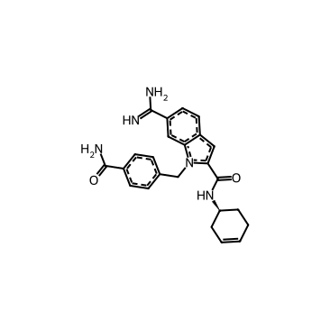 N=C(N)c1ccc2cc(C(=O)N[C@@H]3CC=CCC3)n(Cc3ccc(C(N)=O)cc3)c2c1